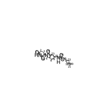 O=C1CCC(N2Cc3ccc(CNC(=O)OCC4CC5(CC5)C4)cc3C2=O)C(=O)N1